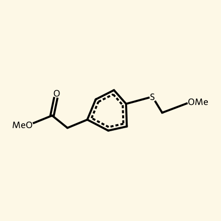 COCSc1ccc(CC(=O)OC)cc1